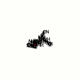 CC[C@H]1O[C@@H](n2cnc3c(OCCC#N)nc(NC(=O)COc4ccccc4)nc32)[C@@H](OC)C1O[P@]1O[C@H](C[Si](C)(c2ccccc2)c2ccccc2)[C@@H]2CCCN21